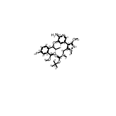 CCC(Oc1cc(-c2c(OC)nn(C)c2CN(C)C(=O)OC(C)(C)C)cnc1N)c1ccc(F)cc1C(=O)OC